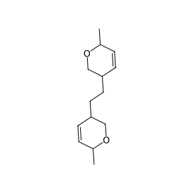 CC1C=CC(CCC2C=CC(C)OC2)CO1